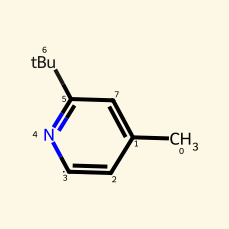 Cc1c[c]nc(C(C)(C)C)c1